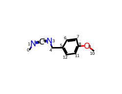 CN=C=NCc1ccc(OC)cc1